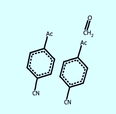 C=O.CC(=O)c1ccc(C#N)cc1.CC(=O)c1ccc(C#N)cc1